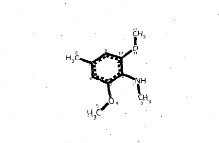 CNc1c(OC)cc(C)cc1OC